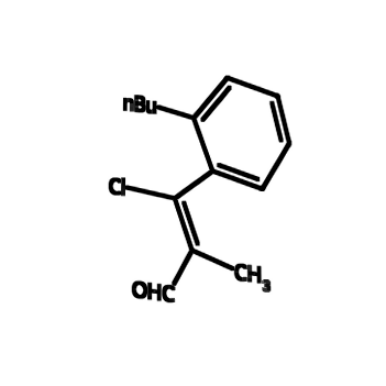 CCCCc1ccccc1C(Cl)=C(C)C=O